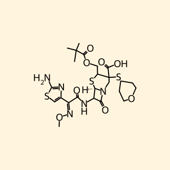 CON=C(C(=O)NC1C(=O)N2CC(SC3CCOCC3)(C(=O)O)C(COC(=O)C(C)(C)C)S[C@H]12)c1csc(N)n1